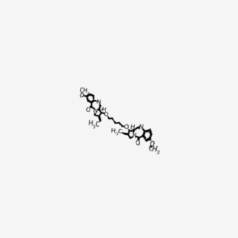 CC=C1CN2C(=O)c3cc(OC)ccc3N=C[C@H]2C1OCCCCCOC1C(=CC)CN2C(=O)c3cc(OC)ccc3N=C[C@@H]12